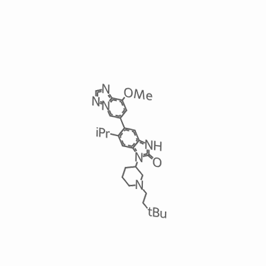 COc1cc(-c2cc3[nH]c(=O)n(C4CCCN(CCC(C)(C)C)C4)c3cc2C(C)C)cn2ncnc12